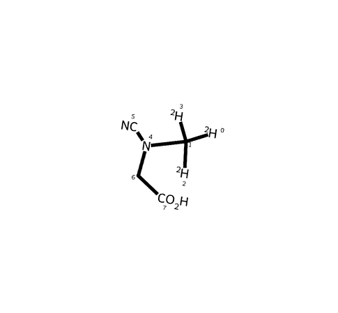 [2H]C([2H])([2H])N(C#N)CC(=O)O